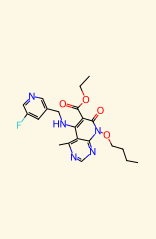 CCCCOn1c(=O)c(C(=O)OCC)c(NCc2cncc(F)c2)c2c(C)ncnc21